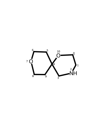 [CH]1CNCC2(CCOCC2)O1